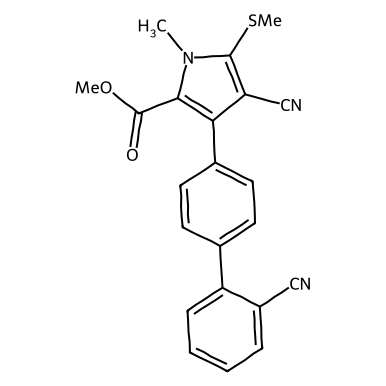 COC(=O)c1c(-c2ccc(-c3ccccc3C#N)cc2)c(C#N)c(SC)n1C